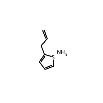 C=CCc1cccs1.N